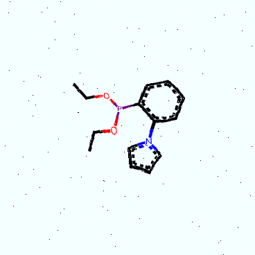 CCOP(OCC)c1ccccc1-n1cccc1